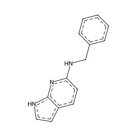 c1ccc(CNc2ccc3cc[nH]c3n2)cc1